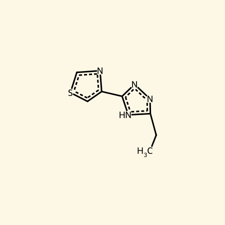 CCc1nnc(-c2cscn2)[nH]1